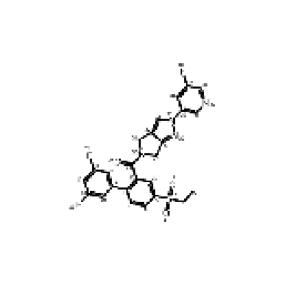 CCS(=O)(=O)c1ccc(-c2cc(F)cc(F)c2)c(C(=O)N2Cc3cn(-c4cncc(F)c4)nc3C2)c1